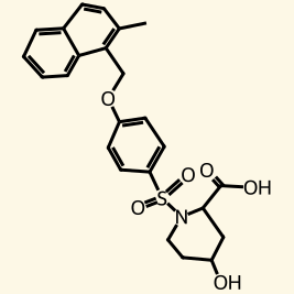 Cc1ccc2ccccc2c1COc1ccc(S(=O)(=O)N2CCC(O)CC2C(=O)O)cc1